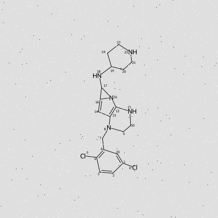 Clc1ccc(Cl)c(CN2CCNc3c2cc2n3C2NC2CCNCC2)c1